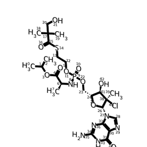 CC(C)OC(=O)[C@H](C)NP(=O)(OCCSC(=O)C(C)(C)CO)OC[C@H]1O[C@@H](n2cnc3c(=O)[nH]c(N)nc32)[C@](C)(Cl)[C@@H]1O